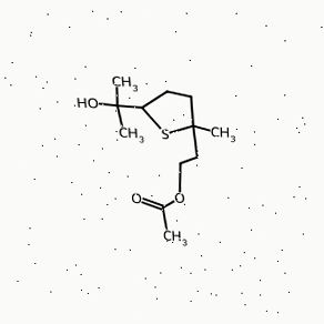 CC(=O)OCCC1(C)CCC(C(C)(C)O)S1